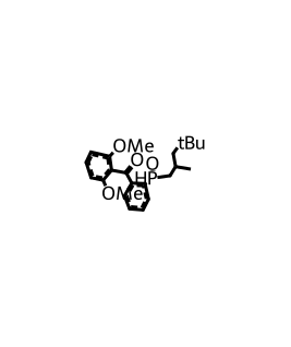 COc1cccc(OC)c1C(=O)c1ccccc1[PH](=O)CC(C)CC(C)(C)C